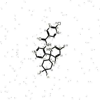 O=C(Nc1cnccc1C1(C2CCC(F)(F)CC2)NC=C(F)C=C1F)c1cnc(Cl)nc1